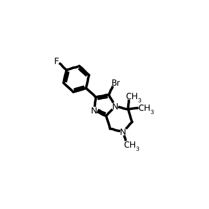 CN1Cc2nc(-c3ccc(F)cc3)c(Br)n2C(C)(C)C1